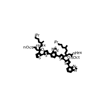 CCCCCCCCC(CCCCCC)CC1(CCC(C)CCCC(C)C)Oc2cc(-c3ccc(-c4cc5c(s4)-c4sc(-c6cccc7nsnc67)cc4OC5(CCC(C)CCCC(C)C)CC(CCCCCC)CCCCCCCC)c4nsnc34)sc2-c2sccc21